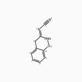 N#CN=C1Cc2ccccc2ON1